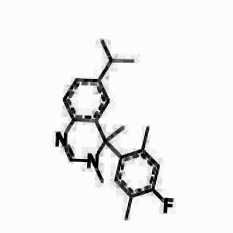 Cc1cc(C2(C)c3cc(C(C)C)ccc3N=CN2C)c(C)cc1F